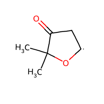 CC1(C)O[CH]CC1=O